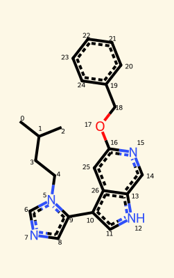 CC(C)CCn1cncc1-c1c[nH]c2cnc(OCc3ccccc3)cc12